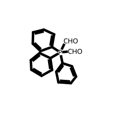 O=CP(C=O)(c1ccccc1)(c1ccccc1)c1ccccc1